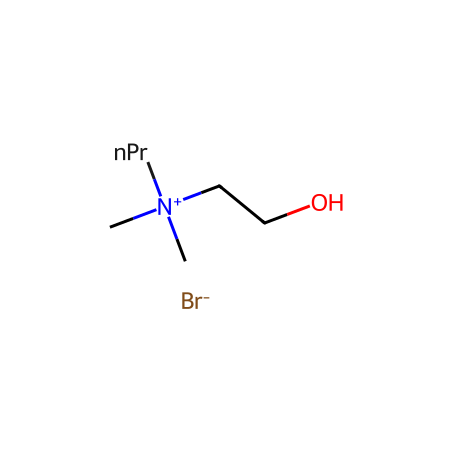 CCC[N+](C)(C)CCO.[Br-]